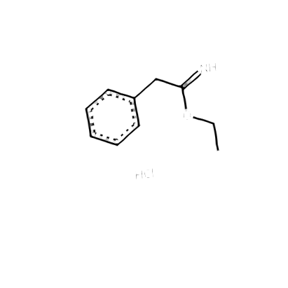 CCOC(=N)Cc1ccccc1.Cl